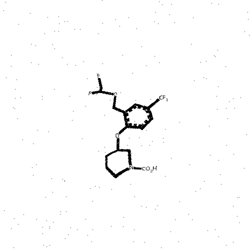 O=C(O)N1CCCC(Oc2ccc(C(F)(F)F)cc2COC(F)F)C1